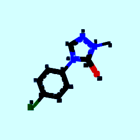 Cn1ncn(-c2ccc(Br)cc2)c1=O